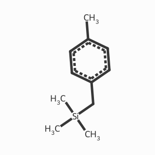 Cc1ccc(C[Si](C)(C)C)cc1